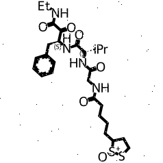 CCNC(=O)C(=O)[C@H](Cc1ccccc1)NC(=O)[C@@H](NC(=O)CNC(=O)CCCCC1CCS[S+]1[O-])C(C)C